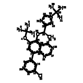 [2H]C([2H])([2H])Oc1cc(-c2cncc(Cl)c2)c2ncncc2c1O[C@@H](C)c1ncn(C([2H])([2H])[2H])n1